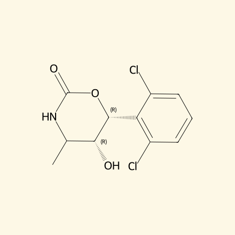 CC1NC(=O)O[C@H](c2c(Cl)cccc2Cl)[C@@H]1O